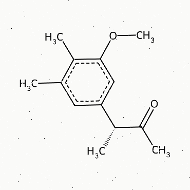 COc1cc([C@@H](C)C(C)=O)cc(C)c1C